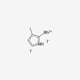 Cc1cc[nH][c]1[Rh+2].[I-].[I-]